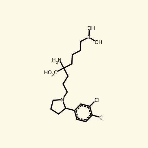 NC(CCCCB(O)O)(CCCN1CCCC1c1ccc(Cl)c(Cl)c1)C(=O)O